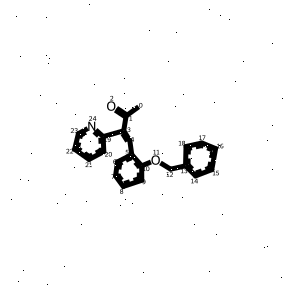 CC(=O)/C(=C/c1ccccc1OCc1ccccc1)c1ccccn1